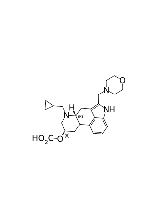 O=C(O)O[C@@H]1CC2c3cccc4[nH]c(CN5CCOCC5)c(c34)C[C@H]2N(CC2CC2)C1